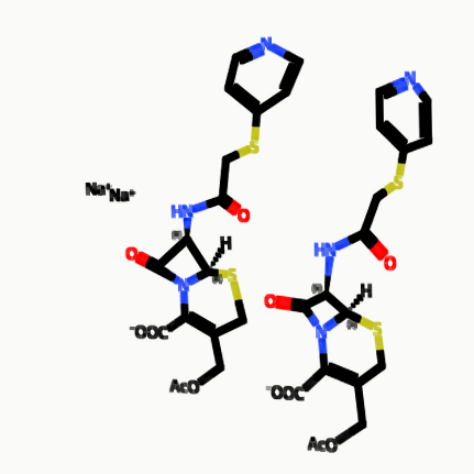 CC(=O)OCC1=C(C(=O)[O-])N2C(=O)[C@@H](NC(=O)CSc3ccncc3)[C@H]2SC1.CC(=O)OCC1=C(C(=O)[O-])N2C(=O)[C@@H](NC(=O)CSc3ccncc3)[C@H]2SC1.[Na+].[Na+]